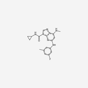 CNc1cc(Nc2cc(C)cc(F)c2)nc2c(C(=O)NC3CC3)cnn12